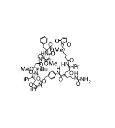 CC[C@H](C)[C@@H](C(CC(=O)N1CCC[C@H]1[C@H](OC)[C@@H](C)C(=O)N[C@@H](Cc1ccccc1)C(=O)OC)OC)N(C)C(=O)[C@@H](CC(=O)[C@H](C(C)C)N(C)C(=O)OCc1ccc(NC(=O)[C@H](CCCNC(N)=O)CC(=O)[C@@H](NC(=O)CCCCCN2C(=O)C=CC2=O)C(C)C)cc1)C(C)C